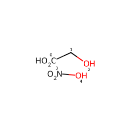 O=C(O)CO.O=[N+]([O-])O